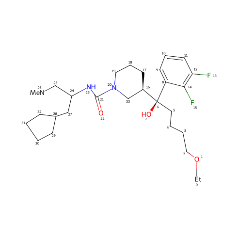 CCOCCCC[C@@](O)(c1cccc(F)c1F)[C@@H]1CCCN(C(=O)NC(CNC)CC2CCCC2)C1